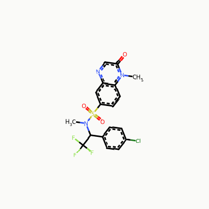 CN(C(c1ccc(Cl)cc1)C(F)(F)F)S(=O)(=O)c1ccc2c(c1)ncc(=O)n2C